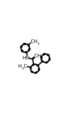 C=C(Nc1cccc(C)c1)c1c(C)cccc1-c1ccccc1